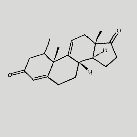 CC1CC(=O)C=C2CC[C@@H]3C(=CC[C@]4(C)C(=O)CC[C@@H]34)[C@]21C